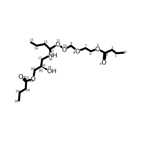 CCCC(=O)OCCOCOOC(CCC)NC[C@@H](O)COC(=O)CCC